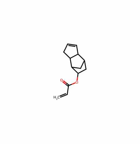 C=CC(=O)OC1CC2CC1C1CC=CC21